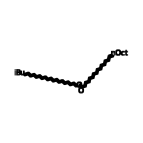 CCCCCCCCC=CCCCCCCCCCCCCCC(=O)OCCCCCCCCCCCCCCCCCCCC(C)CC